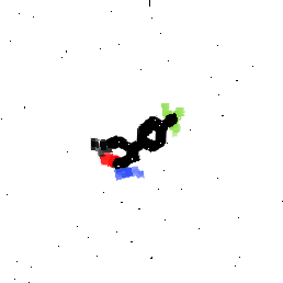 CC[C](CC(N)=O)c1ccc(C(F)(F)F)cc1